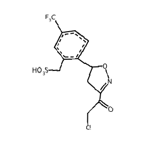 O=C(CCl)C1=NOC(c2ccc(C(F)(F)F)cc2CS(=O)(=O)O)C1